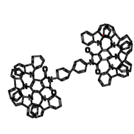 O=C1c2c(c(-n3c4ccccc4c4ccccc43)c(-n3c4ccccc4c4ccccc43)c(-n3c4ccccc4c4ccccc43)c2-n2c3ccccc3c3ccccc32)C(=O)N1c1ccc(-c2ccc(N3C(=O)c4c(c(-n5c6ccccc6c6ccccc65)c(-n5c6ccccc6c6ccccc65)c(-n5c6ccccc6c6ccccc65)c4-n4c5ccccc5c5ccccc54)C3=O)cc2)cc1